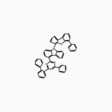 c1ccc(-c2cc(-c3ccccc3-c3ccccc3)nc(-c3cccc4c3c3ccccc3n4-c3cccc4c3sc3c(-c5ccccc5)cccc34)n2)cc1